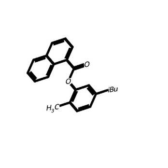 CCC(C)c1ccc(C)c(OC(=O)c2cccc3ccccc23)c1